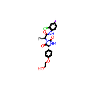 CC(C)C(C(=O)Nc1ccc(I)cc1Cl)N1C(=O)N[C@H](c2ccc(OCCO)cc2)C1=O